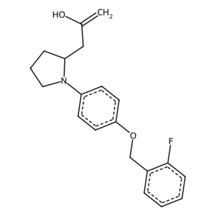 C=C(O)CC1CCCN1c1ccc(OCc2ccccc2F)cc1